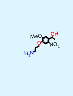 COc1cc(C(C)O)c([N+](=O)[O-])cc1OCCCN